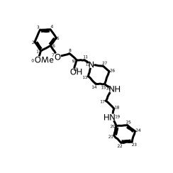 COc1ccccc1OCC(O)CN1CCC(NCCNc2ccccc2)CC1